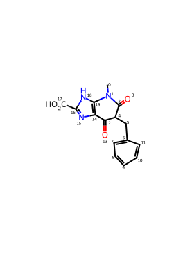 CN1C(=O)C(Cc2ccccc2)C(=O)c2nc(C(=O)O)[nH]c21